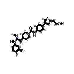 O=C(/C(=N/I)Nc1ccc(F)c(Br)c1)C1CCN(C(=O)Nc2ccc(-c3cnn(CCO)c3)cc2)CC1